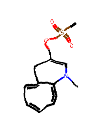 CN1C=C(OS(C)(=O)=O)Cc2ccccc21